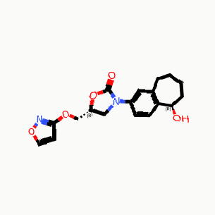 O=C1O[C@@H](COc2ccon2)CN1c1ccc2c(c1)CCCC[C@H]2O